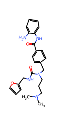 CN(C)CCCN(Cc1ccc(C(=O)Nc2ccccc2N)cc1)C(=O)NCc1ccco1